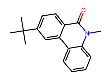 Cn1c(=O)c2ccc(C(C)(C)C)cc2c2ccccc21